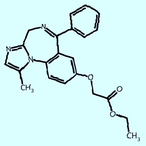 CCOC(=O)COc1ccc2c(c1)C(c1ccccc1)=NCc1ncc(C)n1-2